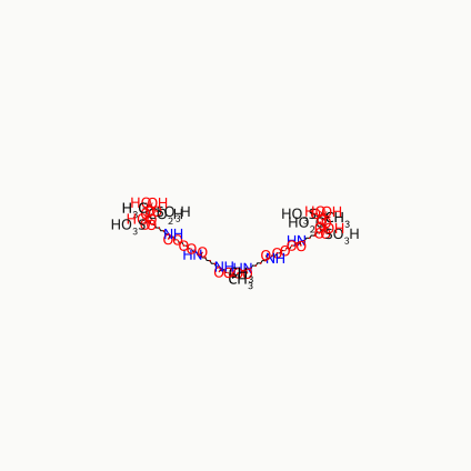 CC1C(OC2C(C(=O)O)OC(OCCCCCCNC(=O)CCOCCOCCOCCNC(=O)CCCCCCCNC(=O)CCOCC(C)(C)COCCC(=O)NCCCCCCCC(=O)NCCOCCOCCOCCC(=O)NCCCCCCOC3OC(C(=O)O)C(OC4OC(COS(=O)(=O)O)C(O)C(O)C4C)C(O)C3OS(=O)(=O)O)C(OS(=O)(=O)O)C2O)OC(COS(=O)(=O)O)C(O)C1O